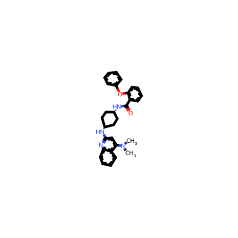 CN(C)c1cc(N[C@H]2CC[C@@H](NC(=O)c3ccccc3Oc3ccccc3)CC2)nc2ccccc12